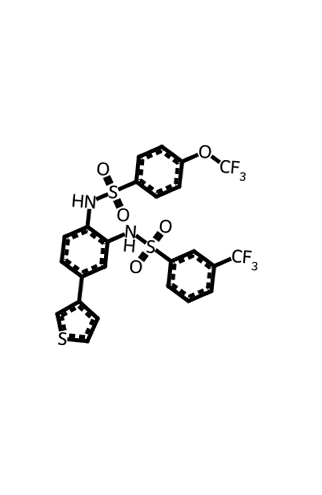 O=S(=O)(Nc1ccc(-c2ccsc2)cc1NS(=O)(=O)c1cccc(C(F)(F)F)c1)c1ccc(OC(F)(F)F)cc1